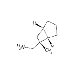 C[C@@]1(CN)C[C@@H]2CCC[C@@H]21